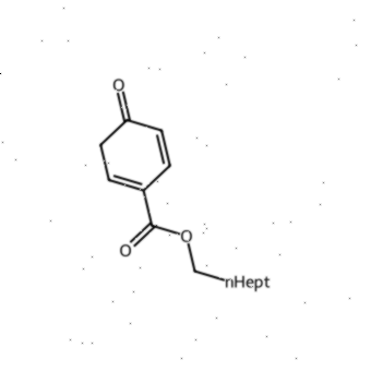 CCCCCCCCOC(=O)C1=CCC(=O)C=C1